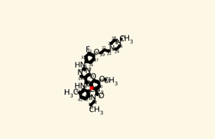 CCCNC(=O)c1ccc(Oc2nc(Nc3ccc(OCCCN4CCN(C)CC4)c(F)c3)ncc2C(=O)Nc2c(C)cccc2C)c(OC)c1